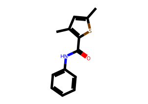 Cc1cc(C)c(C(=O)Nc2ccccc2)s1